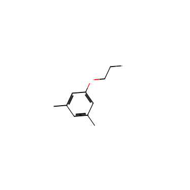 Cc1cc(C)cc(OCCC(=O)O)c1